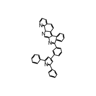 c1ccc(-c2cc(-c3cccc(-c4nc5cnc6c(ccc7cccnc76)c5c5ccccc45)c3)cc(-c3ccccc3)n2)cc1